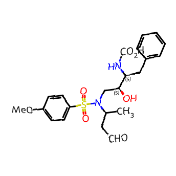 COc1ccc(S(=O)(=O)N(C[C@H](O)[C@H](Cc2ccccc2)NC(=O)O)C(C)CC=O)cc1